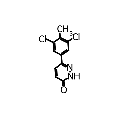 Cc1c(Cl)cc(-c2ccc(=O)[nH]n2)cc1Cl